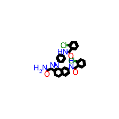 NC(=O)c1nn(-c2ccc(NC(=O)c3ccccc3Cl)cc2)c2c1CCc1ccc(NC(=O)c3ccccc3Cl)cc1-2